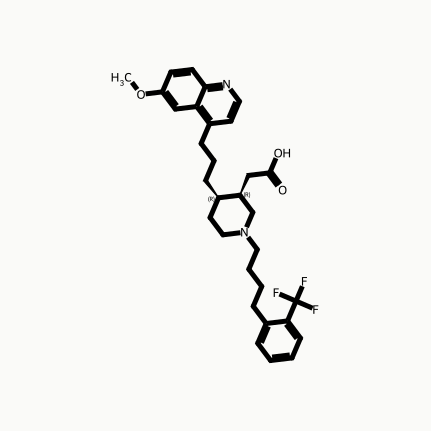 COc1ccc2nccc(CCC[C@@H]3CCN(CCCCc4ccccc4C(F)(F)F)C[C@@H]3CC(=O)O)c2c1